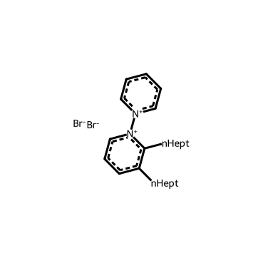 CCCCCCCc1ccc[n+](-[n+]2ccccc2)c1CCCCCCC.[Br-].[Br-]